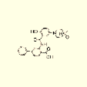 C[SH]1(=O)CCN(c2ccc(O)c(C(=O)Nc3cc(-c4ccccc4)ccc3C(=O)O)c2)CC1